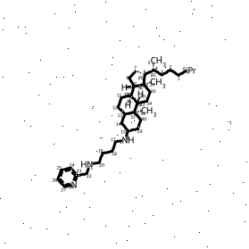 CC(C)CCC[C@@H](C)[C@H]1CC[C@H]2[C@@H]3CCC4CC(NCCCCNCc5ccccn5)CC[C@]4(C)[C@H]3CC[C@]12C